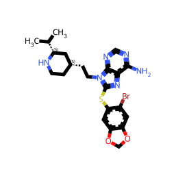 CC(C)[C@@H]1C[C@H](CCn2c(Sc3cc4c(cc3Br)OCO4)nc3c(N)ncnc32)CCN1